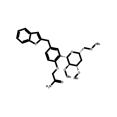 CCCCOC[C@@H]1C[C@H](OCCCC)[C@@H](OCCCC)[C@H](c2cc(Cc3cc4ccccc4s3)ccc2OCC(N)=O)O1